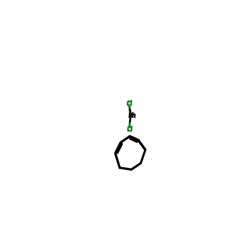 C1=C\CCCC\C=C/1.[Cl][Rh][Cl]